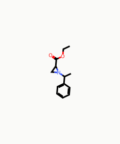 CCOC(=O)C1CN1C(C)c1ccccc1